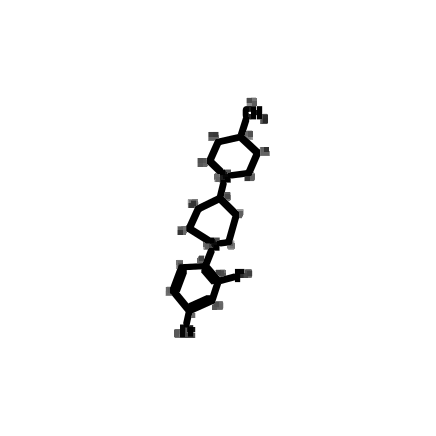 CCc1ccc(N2CCC(N3CCC(C)CC3)CC2)c(F)c1